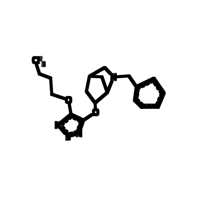 FC(F)(F)CCCOc1nsnc1OC1CC2CC1N(Cc1ccccc1)C2